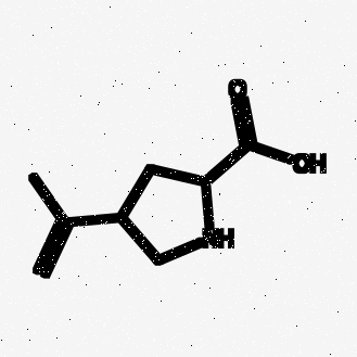 C=C(C)C1CNC(C(=O)O)C1